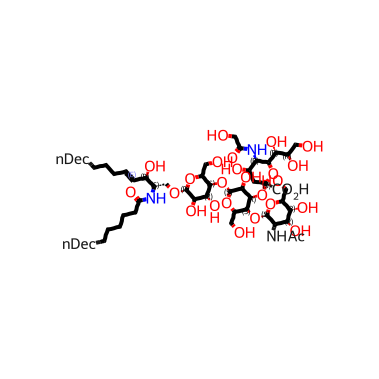 CCCCCCCCCCCCC/C=C/[C@@H](O)[C@H](CO[C@@H]1OC(CO)[C@@H](O[C@@H]2OC(CO)[C@H](O[C@@H]3OC(CO)[C@H](O)[C@H](O)C3NC(C)=O)[C@H](O[C@]3(C(=O)O)CC(O)[C@@H](NC(=O)CO)C([C@H](O)[C@H](O)CO)O3)C2O)[C@H](O)C1O)NC(=O)CCCCCCCCCCCCCCC